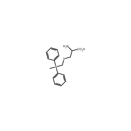 C[Si](CSCC(N)C(=O)O)(c1ccccc1)c1ccccc1